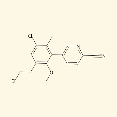 COc1c(CCCl)cc(Cl)c(C)c1-c1ccc(C#N)nc1